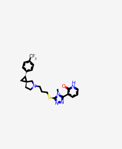 Cn1c(SCCCN2CC[C@]3(C[C@@H]3c3ccc(C(F)(F)F)cc3)C2)nnc1-c1ccc[nH]c1=O